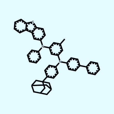 Cc1cc(N(c2ccc(-c3ccccc3)cc2)c2ccc(C34CC5CC(CC(C5)C3)C4)cc2)cc(N(c2ccccc2)c2ccc3sc4ccccc4c3c2)c1